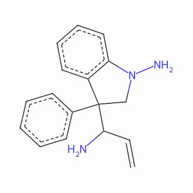 C=CC(N)C1(c2ccccc2)CN(N)c2ccccc21